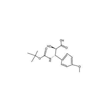 COc1ccc([C@H](NC(=O)OC(C)(C)C)[C@@H](O)C(=O)O)cc1